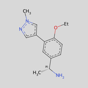 CCOc1ccc([C@@H](C)N)cc1-c1cnn(C)c1